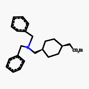 CCOC(=O)C[C@H]1CC[C@@H](CN(Cc2ccccc2)Cc2ccccc2)CC1